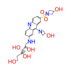 O=S(=O)(c1ccc2nc3ccc(NC[C@H](O)[C@@H](O)[C@H](O)CCO)cc3c(N3CC(O)C3)c2c1)N1CC(O)C1